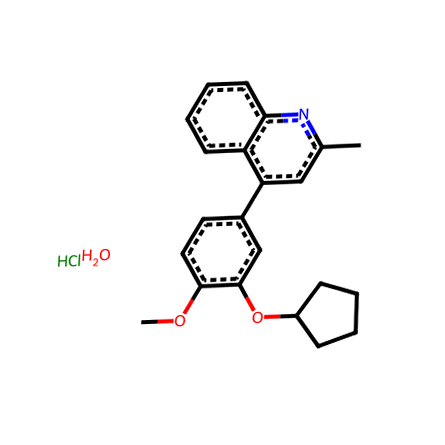 COc1ccc(-c2cc(C)nc3ccccc23)cc1OC1CCCC1.Cl.O